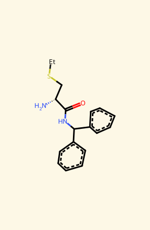 CCSC[C@@H](N)C(=O)NC(c1ccccc1)c1ccccc1